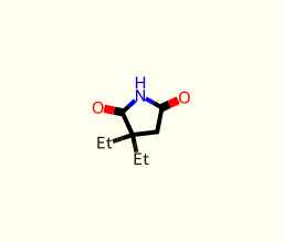 CCC1(CC)CC(=O)NC1=O